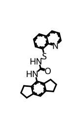 O=C(NSc1cccc2cccnc12)Nc1c2c(cc3c1CCC3)CCC2